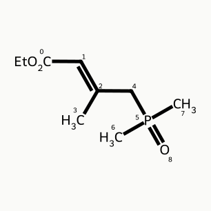 CCOC(=O)/C=C(\C)CP(C)(C)=O